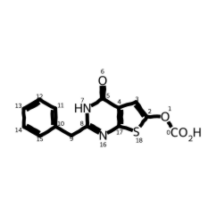 O=C(O)Oc1cc2c(=O)[nH]c(Cc3ccccc3)nc2s1